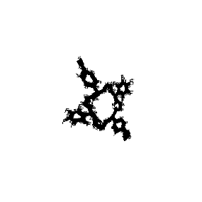 C#Cc1ccc(-c2c3nc(c(-c4c(F)c(F)c(F)c(F)c4F)c4ccc([nH]4)c(-c4ccc(C#C)cc4)c4nc(c(-c5c(F)c(F)c(F)c(F)c5F)c5ccc2[nH]5)C=C4)C=C3)cc1